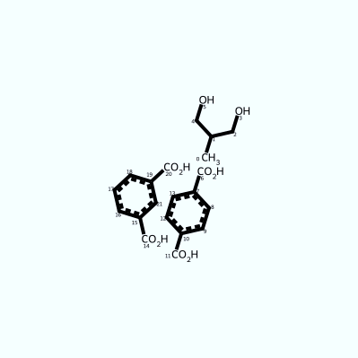 CC(CO)CO.O=C(O)c1ccc(C(=O)O)cc1.O=C(O)c1cccc(C(=O)O)c1